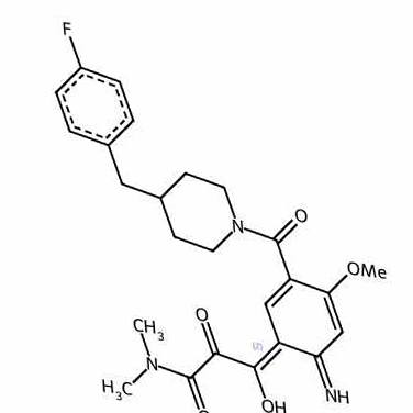 COC1=CC(=N)/C(=C(\O)C(=O)C(=O)N(C)C)C=C1C(=O)N1CCC(Cc2ccc(F)cc2)CC1